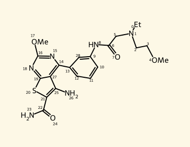 CCN(CCOC)CC(=O)Nc1cccc(-c2nc(OC)nc3sc(C(N)=O)c(N)c23)c1